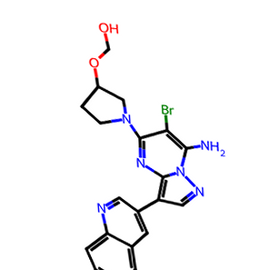 Nc1c(Br)c(N2CCC(OCO)C2)nc2c(-c3cnc4ccccc4c3)cnn12